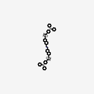 C(=C\c1ccc2cc(-c3nnc(-c4ccc(N(c5ccccc5)c5ccccc5)cc4)o3)ccc2c1)/c1ccc2cc(-c3nnc(-c4ccc(N(c5ccccc5)c5ccccc5)cc4)o3)ccc2c1